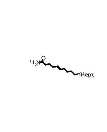 CCCCCCCCCCCC=CCCCC(N)=O